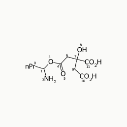 CCCC(N)OC(=O)CC(O)(CC(=O)O)C(=O)O